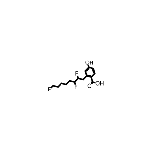 O=C(O)c1ccc(O)cc1CC(F)C(F)CCCCCF